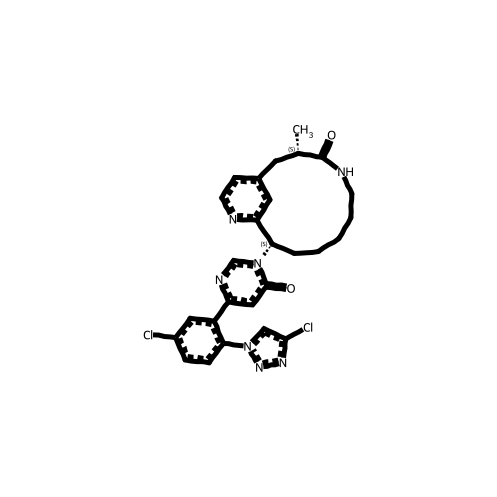 C[C@H]1Cc2ccnc(c2)[C@@H](n2cnc(-c3cc(Cl)ccc3-n3cc(Cl)nn3)cc2=O)CCCCCNC1=O